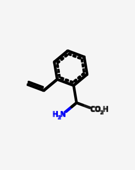 C=Cc1ccccc1C(N)C(=O)O